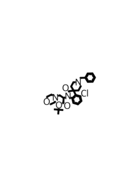 CC(C)(C)OC(=O)C(CN1CCOCC1)N1C(=O)C2(CCN(Cc3ccccc3)CC2)c2c(Cl)cccc21